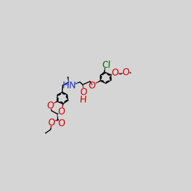 CCOC(=O)[C@H]1COc2cc(C[C@@H](C)NC[C@H](O)COc3ccc(OCOC)c(Cl)c3)ccc2O1